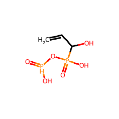 C=CC(O)P(=O)(O)O[PH](=O)O